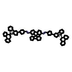 C(=C\c1ccc2c(c1)C1(c3ccccc3-c3ccccc31)c1cc(/C=C/c3ccc(-c4ccc5c(c4)c4ccccc4n5-c4cc5ccccc5c5ccccc45)cc3)ccc1-2)/c1ccc(-c2ccc3c(c2)c2ccccc2n3-c2cc3ccccc3c3ccccc23)cc1